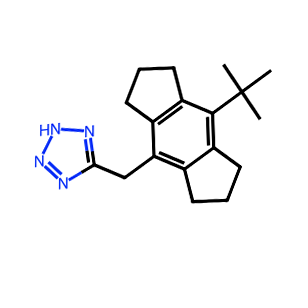 CC(C)(C)c1c2c(c(Cc3nn[nH]n3)c3c1CCC3)CCC2